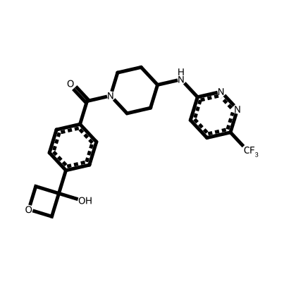 O=C(c1ccc(C2(O)COC2)cc1)N1CCC(Nc2ccc(C(F)(F)F)nn2)CC1